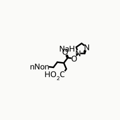 CCCCCCCCCCCC(CC(=O)O)C(=O)ON1C=NCC1.[NaH]